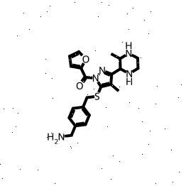 Cc1c(C2NCCNC2C)nn(C(=O)c2ccco2)c1SCc1ccc(CN)cc1